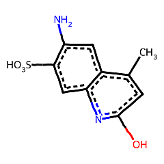 Cc1cc(O)nc2cc(S(=O)(=O)O)c(N)cc12